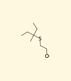 CCC(C)(CC)SCC[O]